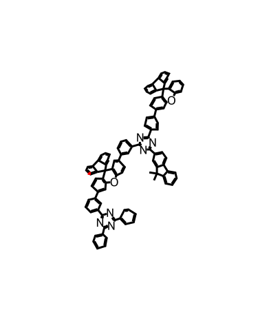 CC1(C)c2ccccc2-c2ccc(-c3nc(-c4ccc(-c5ccc6c(c5)Oc5ccccc5C65c6ccccc6-c6ccccc65)cc4)nc(-c4cccc(-c5ccc6c(c5)C5(c7ccc(-c8cccc(-c9nc(-c%10ccccc%10)nc(-c%10ccccc%10)n9)c8)cc7O6)c6ccccc6-c6ccccc65)c4)n3)cc21